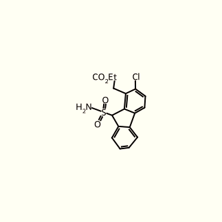 CCOC(=O)Cc1c(Cl)ccc2c1C(S(N)(=O)=O)c1ccccc1-2